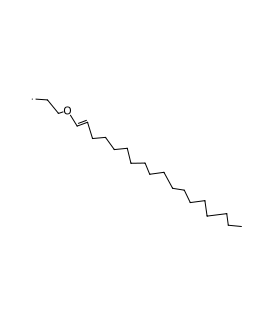 [CH2]CCOC=CCCCCCCCCCCCCCCCC